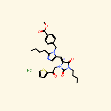 CCCCc1ncc(/C=C2/C(=O)N(CCCC)C(=O)N2CC(=O)c2cccs2)n1Cc1ccc(C(=O)OC)cc1.Cl